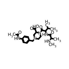 CNC(C)C(=O)NC(C(=O)N1CCN(Cc2ccc(NC(C)=O)cc2)CC1C(=O)O)C(C)C